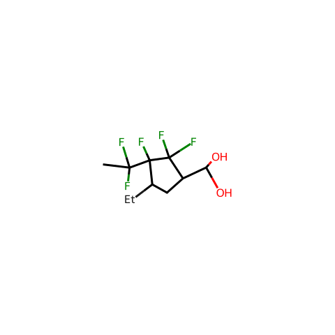 CCC1CC(C(O)O)C(F)(F)C1(F)C(C)(F)F